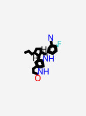 CCCC1CC[C@H]2[C@H](c3ccc(F)c(C#N)c3)Nc3cc4c(cc3[C@@H]12)CCC(=O)N4